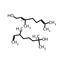 C=CC(C)CCCC(C)(C)O.CC(C)=CCC/C(C)=C/CO